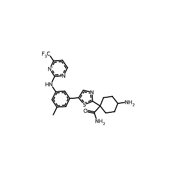 Cc1cc(Nc2nccc(C(F)(F)F)n2)cc(-c2cnc(C3(C(N)=O)CCC(N)CC3)s2)c1